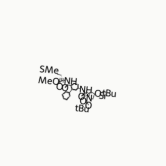 COC(=O)[C@H](CCSC)NC(=O)c1ccc(NC(=O)[C@@H]2CC(O[Si](C)(C)C(C)(C)C)CN2C(=O)OC(C)(C)C)cc1-c1ccccc1